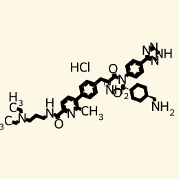 CCN(CC)CCCNC(=O)c1ccc(-c2ccc(C[C@H](N)C(=O)N(c3ccc(-c4nn[nH]n4)cc3)C(=O)[C@H]3CC[C@H](CN)CC3)cc2)c(C)n1.Cl